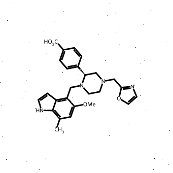 COc1cc(C)c2[nH]ccc2c1CN1CCN(Cc2ncco2)C[C@@H]1c1ccc(C(=O)O)cc1